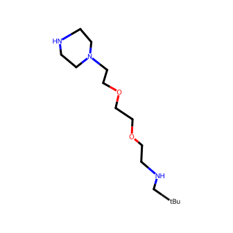 CC(C)(C)CNCCOCCOCCN1CCNCC1